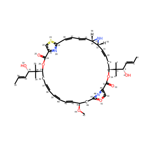 C/C=C/[C@H](O)C(C)(C)[C@@H]1C/C=C\[C@H]2N[C@H]2/C=C/C=C\c2nc(cs2)C(=O)O[C@H](C(C)(C)[C@@H](O)/C=C/C)C\C=C/C=C\C=C\[C@H](OC)Cc2nc(co2)C(=O)O1